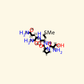 CSCC[C@H](NC(=O)[C@@H]1CCCN1C(=O)[C@@H](N)CO)C(=O)N[C@@H](CCC(N)=O)C(N)=O